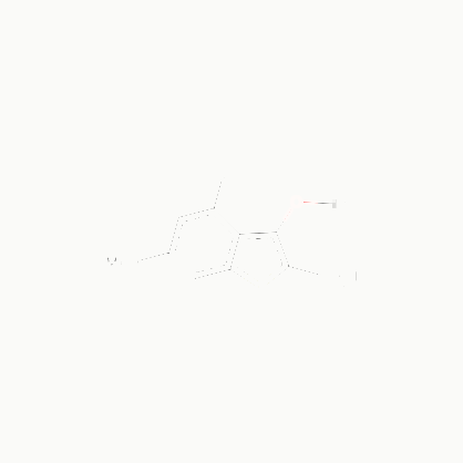 COc1cc(C)c2c(OC(C)C)c(C(=O)O)sc2c1